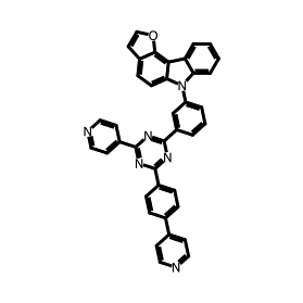 c1cc(-c2nc(-c3ccncc3)nc(-c3ccc(-c4ccncc4)cc3)n2)cc(-n2c3ccccc3c3c4occc4ccc32)c1